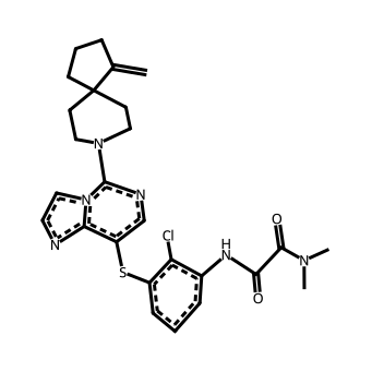 C=C1CCCC12CCN(c1ncc(Sc3cccc(NC(=O)C(=O)N(C)C)c3Cl)c3nccn13)CC2